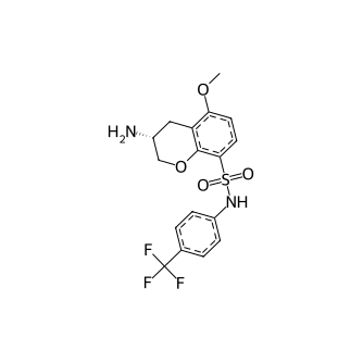 COc1ccc(S(=O)(=O)Nc2ccc(C(F)(F)F)cc2)c2c1C[C@@H](N)CO2